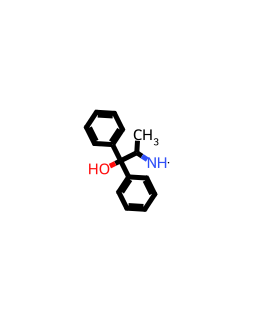 CC([NH])C(O)(c1ccccc1)c1ccccc1